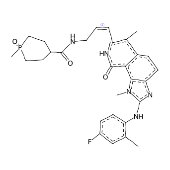 Cc1cc(F)ccc1Nc1nc2ccc3c(C)c(/C=C\CNC(=O)C4CCP(C)(=O)CC4)[nH]c(=O)c3c2n1C